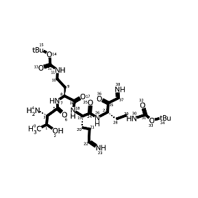 CC(O)[C@H](N)C(=O)N[C@@H](CCNC(=O)OC(C)(C)C)C(=O)N[C@@H](CCC=N)C(=O)N[C@@H](CCNC(=O)OC(C)(C)C)C(=O)C=N